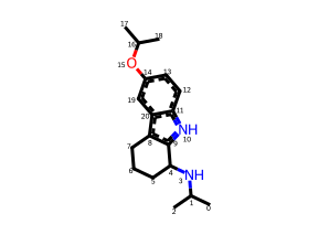 CC(C)NC1CCCc2c1[nH]c1ccc(OC(C)C)cc21